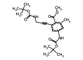 COC(=O)c1c(C)cc(NC(=O)OC(C)(C)C)cc1C#CCNC(=O)OC(C)(C)C